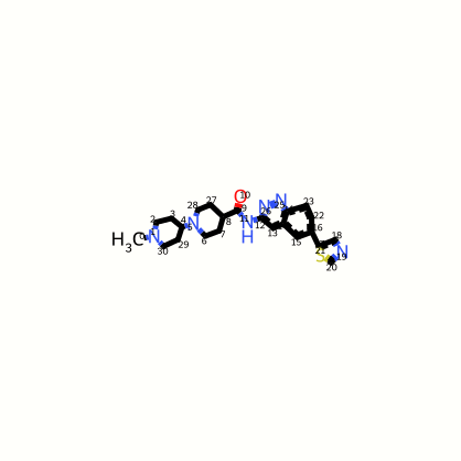 CN1CCC(N2CCC(C(=O)Nc3cc4cc(-c5cncs5)ccc4nn3)CC2)CC1